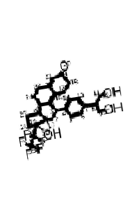 C[C@]12C[C@H](c3ccc(C(CO)CO)cc3)C3=C4CCC(=O)C=C4CCC3C1CC[C@@]2(O)C(F)(F)C(F)(F)F